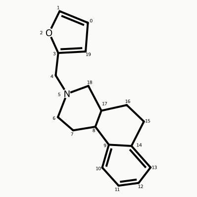 c1coc(CN2CCC3c4ccccc4CCC3C2)c1